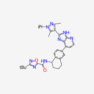 Cc1nn(C(C)C)c(C)c1-c1nc2c(-c3ccc4c(c3)CCCC4NC(=O)c3nc(C(C)(C)C)no3)ccnc2[nH]1